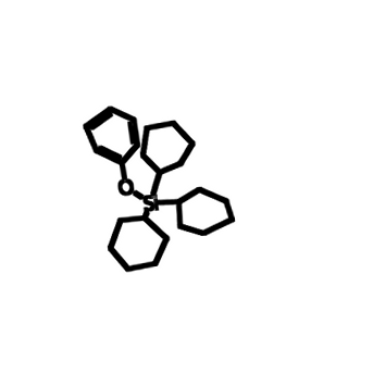 c1ccc(O[Si](C2CCCCC2)(C2CCCCC2)C2CCCCC2)cc1